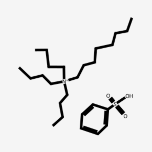 CCCCCCCC[N+](CCCC)(CCCC)CCCC.O=S(=O)(O)c1ccccc1